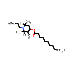 CCCCCCCCCCCCN1C(C)(CC)CC(OC(=O)CCCCCCCCC(=O)O)C(C)C1(C)CC